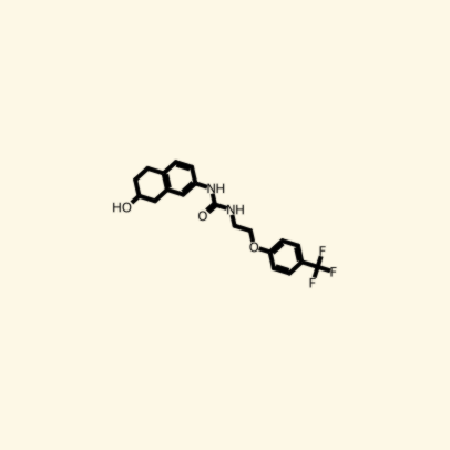 O=C(NCCOc1ccc(C(F)(F)F)cc1)Nc1ccc2c(c1)CC(O)CC2